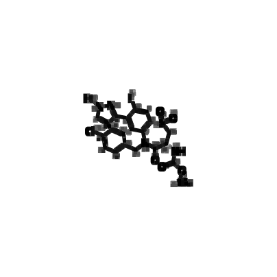 CCn1cnc(-c2cc3c(cc2F)S(=O)(=O)C[C@H](NC(=O)OC(C)(C)C)C(=O)N3Cc2ccc(Cl)cc2)n1